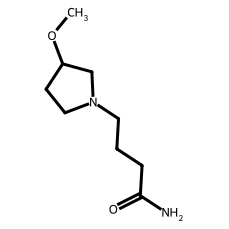 COC1CCN(CCCC(N)=O)C1